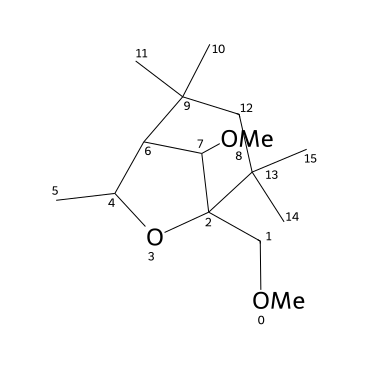 COCC12OC(C)C(C1OC)C(C)(C)CC2(C)C